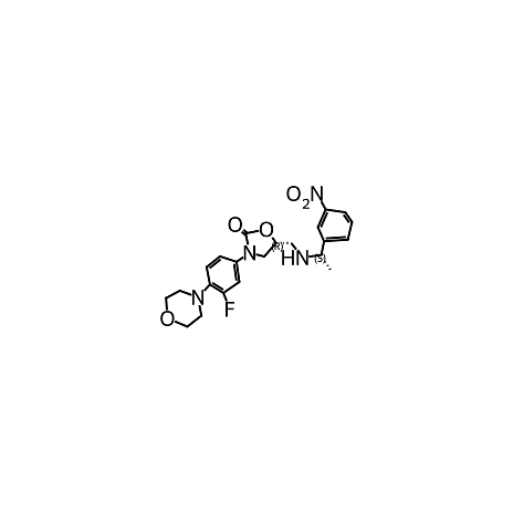 C[C@H](NC[C@@H]1CN(c2ccc(N3CCOCC3)c(F)c2)C(=O)O1)c1cccc([N+](=O)[O-])c1